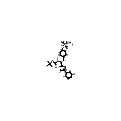 CC(C)(C)OC(=O)N[C@@H](Cc1ccc(OS(N)(=O)=O)cc1)c1nc(-c2ccccc2)cs1